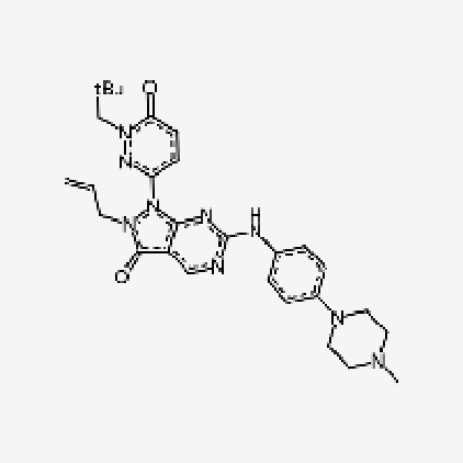 C=CCn1c(=O)c2cnc(Nc3ccc(N4CCN(C)CC4)cc3)nc2n1-c1ccc(=O)n(CC(C)(C)C)n1